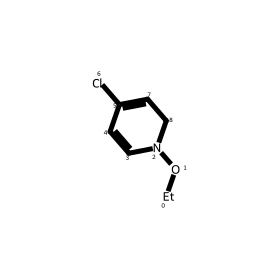 CCON1C=CC(Cl)=CC1